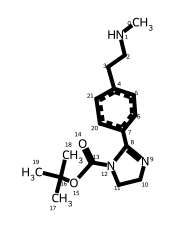 CNCCc1ccc(C2=NCCN2C(=O)OC(C)(C)C)cc1